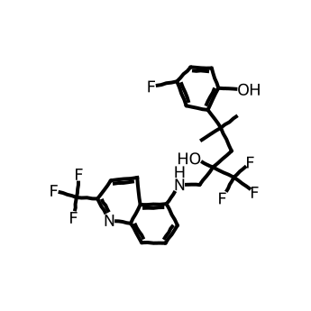 CC(C)(CC(O)(CNc1cccc2nc(C(F)(F)F)ccc12)C(F)(F)F)c1cc(F)ccc1O